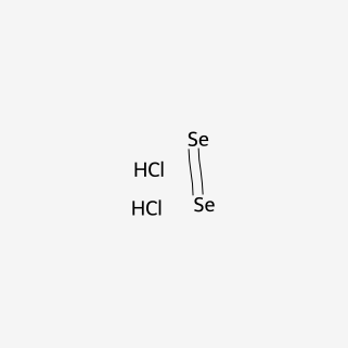 Cl.Cl.[Se]=[Se]